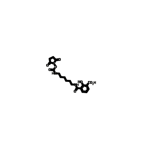 O=C(NCCCCCCNC(=O)c1cccc(C(=O)O)c1O)ON1C(=O)CCC1=O